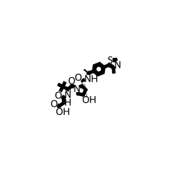 Cc1ncsc1-c1ccc([C@H](C)NC(=O)[C@@H]2C[C@@H](O)CN2C(=O)[C@@H](NC(=O)CC(=O)O)C(C)(C)C)cc1